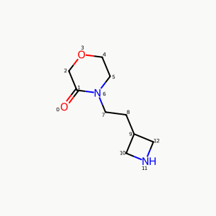 O=C1COCCN1CCC1CNC1